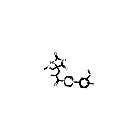 COCC1(CC(C)C(=O)N2CCN(c3ccc(Cl)c(OC)c3)[C@@H](C)C2)NC(=O)NC1=O